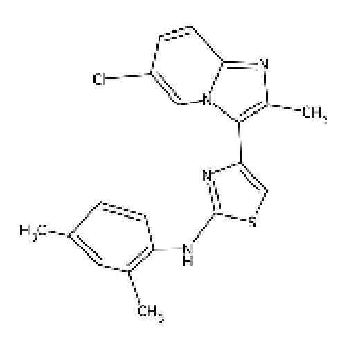 Cc1ccc(Nc2nc(-c3c(C)nc4ccc(Cl)cn34)cs2)c(C)c1